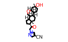 C[C@@]1(O)CC[C@@H]2[C@H]3CC[C@]4(C)[C@@H](C(=O)Cn5cc(C#N)cn5)CC[C@H]4[C@@H]3CO[C@H]2C1